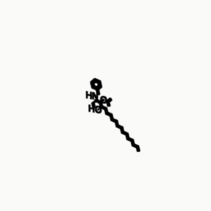 CCCCCCCCCCCCCC[C@H](O)[C@H](OC(C)C)[C@@H](CC)NCc1ccccc1